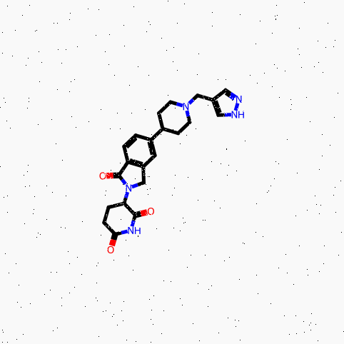 O=C1CCC(N2Cc3cc(C4CCN(Cc5cn[nH]c5)CC4)ccc3C2=O)C(=O)N1